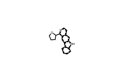 c1ccc2c(c1)[nH]c1cc3ccnc(C4CCCO4)c3cc12